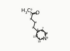 CC(=O)CCCc1ccncc1